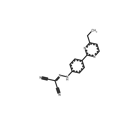 CCc1ccnc(-c2ccc(NN=C(C#N)C#N)cc2)n1